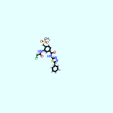 CS(=O)(=O)Cc1ccc(C(=O)Nc2nnc(-c3ccccc3)s2)cc1NC(=O)CCl